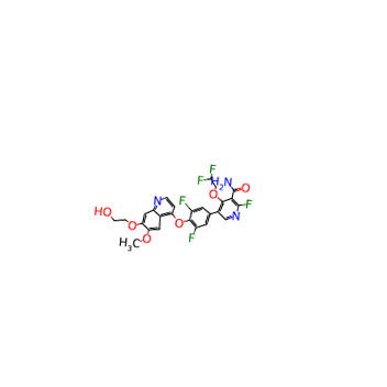 COc1cc2c(Oc3c(F)cc(-c4cnc(F)c(C(N)=O)c4OCC(F)F)cc3F)ccnc2cc1OCCO